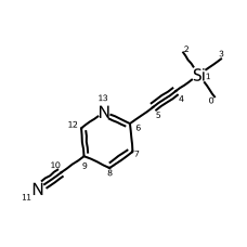 C[Si](C)(C)C#Cc1ccc(C#N)cn1